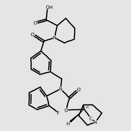 O=C(O)C1CCCCN1C(=O)c1cccc(CN(C(=O)O[C@H]2CN3CCC2CC3)c2ccccc2F)c1